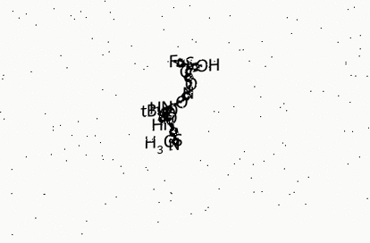 Cc1ncsc1-c1ccc(CNC(=O)[C@@H]2CCCN2C(=O)C(NC(=O)CCCOC2CCN(CCOc3ccc(Oc4c(-c5ccc(F)cc5)sc5cc(O)ccc45)cc3)CC2)C(C)(C)C)cc1